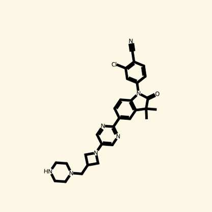 CC1(C)C(=O)N(c2ccc(C#N)c(Cl)c2)c2ccc(-c3ncc(N4CC(CN5CCNCC5)C4)cn3)cc21